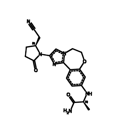 C[C@H](Nc1ccc2c(c1)OCCn1cc(N3C(=O)CC[C@H]3CC#N)nc1-2)C(N)=O